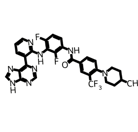 CC1CCN(c2ccc(C(=O)Nc3ccc(F)c(Nc4ncccc4-c4ncnc5[nH]cnc45)c3F)cc2C(F)(F)F)CC1